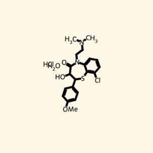 COc1ccc(C2Sc3c(Cl)cccc3N(CCN(C)C)C(=O)C2O)cc1.Cl.O